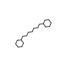 C(CCCC1CCCCC1)CCCC1CCCCC1